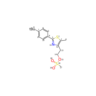 Cc1sc(-c2ccc(C(C)(C)C)cc2)nc1CCOS(C)(=O)=O